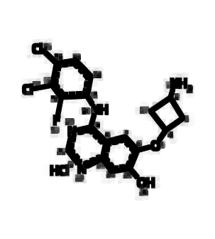 Cl.NC1CC(Oc2cc3c(Nc4ccc(Cl)c(Cl)c4F)ncnc3cc2O)C1